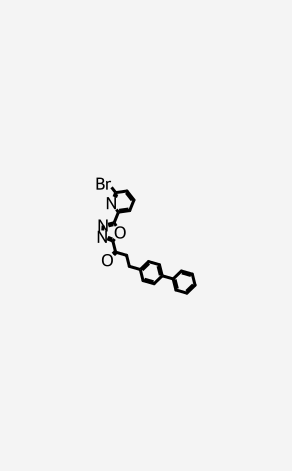 O=C(CCc1ccc(-c2ccccc2)cc1)c1nnc(-c2cccc(Br)n2)o1